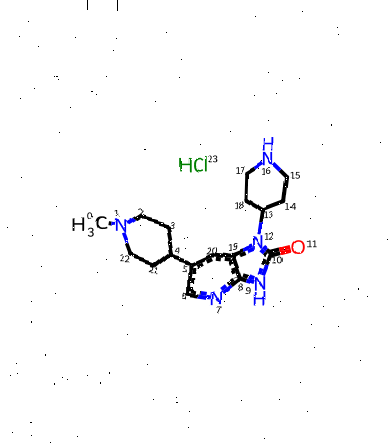 CN1CCC(c2cnc3[nH]c(=O)n(C4CCNCC4)c3c2)CC1.Cl